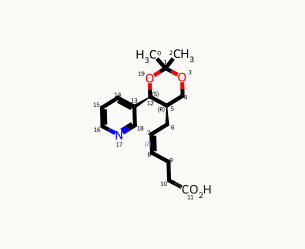 CC1(C)OC[C@@H](C/C=C\CCC(=O)O)[C@@H](c2cccnc2)O1